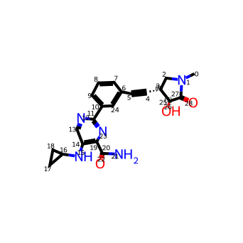 CN1C[C@@H](C#Cc2cccc(-c3ncc(NC4CC4)c(C(N)=O)n3)c2)[C@H](O)C1=O